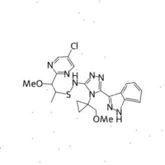 COCC1(n2c(NSC(C)C(OC)c3ncc(Cl)cn3)nnc2-c2n[nH]c3ccccc23)CC1